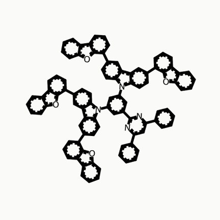 c1ccc(-c2cc(-c3ccccc3)nc(-c3cc(-n4c5ccc(-c6cccc7c6oc6ccccc67)cc5c5cc(-c6cccc7c6oc6ccccc67)ccc54)cc(-n4c5ccc(-c6cccc7c6oc6ccccc67)cc5c5cc(-c6cccc7c6oc6ccccc67)ccc54)c3)n2)cc1